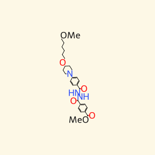 COCCCCCCOC1CCN(c2ccc(C(=O)NNC(=O)c3ccc(C(=O)OC)cc3)cc2)CC1